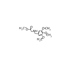 CCOC(=O)CNCc1cc(OC)c(OC)c(OC)c1